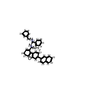 N/C(=N\C(=N/Cc1ccccc1)c1ccccc1)C1=CCCc2oc3cc(-c4ccc5ccccc5c4)ccc3c21